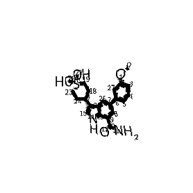 COc1cccc(-c2cc(C(N)=O)c3[nH]cc(C4CCS(O)(O)CC4)c3c2)c1